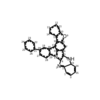 C1=CC2=Nc3c(c4cc5oc6ccccc6c5c5c6cc(-c7ccccc7)ccc6n3c45)NC2C=C1